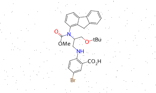 COC(=O)N(c1cccc2c1Cc1ccccc1-2)C(CNc1ccc(Br)cc1C(=O)O)COC(C)(C)C